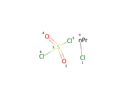 CCCCl.O=S(=O)(Cl)Cl